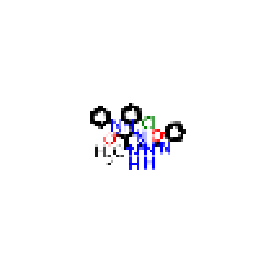 CC1=C(C(=O)Nc2ccccc2)C(c2ccccc2Cl)N=C(Nc2nc3ccccc3o2)N1